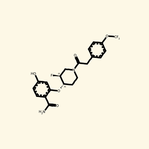 NC(=O)c1ccc(O)cc1O[C@H]1CCN(C(=O)Cc2ccc(OC(F)(F)F)cc2)C[C@@H]1F